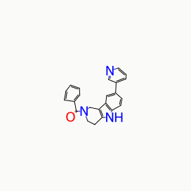 O=C(c1ccccc1)N1CCc2[nH]c3ccc(-c4cccnc4)cc3c2C1